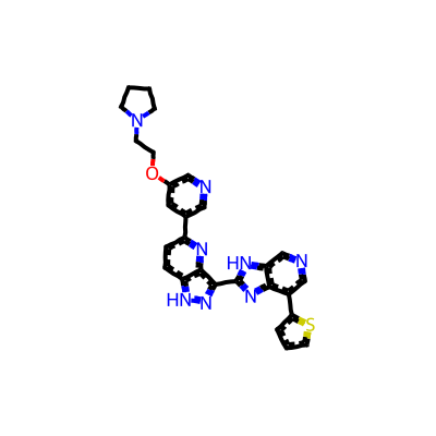 c1csc(-c2cncc3[nH]c(-c4n[nH]c5ccc(-c6cncc(OCCN7CCCC7)c6)nc45)nc23)c1